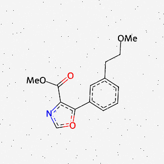 COCCc1cccc(-c2ocnc2C(=O)OC)c1